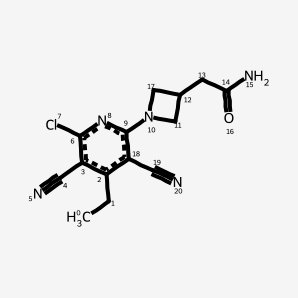 CCc1c(C#N)c(Cl)nc(N2CC(CC(N)=O)C2)c1C#N